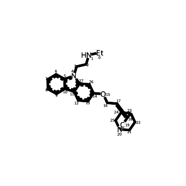 CCNCCn1c2ccccc2c2ccc(OC/C=C3\CN4CCC3CC4)cc21